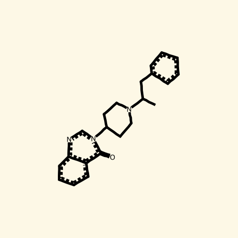 CC(Cc1ccccc1)N1CCC(n2cnc3ccccc3c2=O)CC1